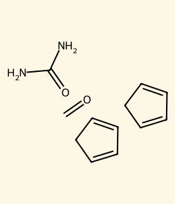 C1=CCC=C1.C1=CCC=C1.C=O.NC(N)=O